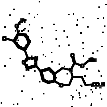 CC(C)Oc1ccc(-c2nc(-c3ccc4c(c3)CN(C(=O)OC(C)(C)C)C(CCC(=O)O)CO4)no2)cc1Cl